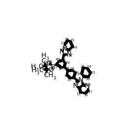 CC1(C)OB(c2cc(-c3ccc(-c4nc5cccnc5n4-c4ccccc4)cc3)cc(-c3nc4ccccn4n3)c2)OC1(C)C